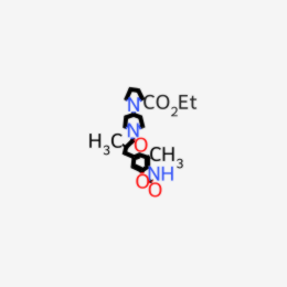 CCOC(=O)[C@H]1CCCN1C1CCN(C(=O)[C@H](C)Cc2cc(C)c3[nH]c(=O)oc3c2)CC1